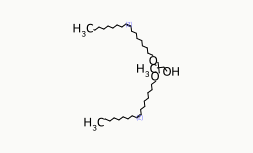 CCCCCCCC/C=C\CCCCCCCCOCC(C)(CO)COCCCCCCCC/C=C\CCCCCCCC